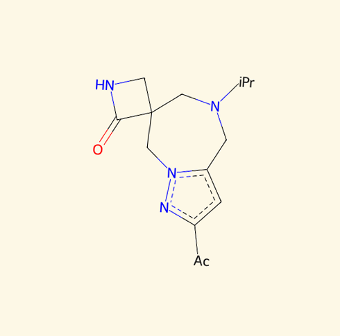 CC(=O)c1cc2n(n1)CC1(CNC1=O)CN(C(C)C)C2